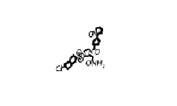 NC(=O)CC1CN(S(=O)(=O)c2ccc3cc(Cl)ccc3c2)CCN1C(=O)c1ccc(-c2cccc[n+]2[O-])cc1